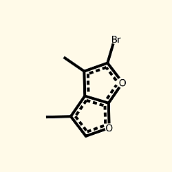 Cc1coc2oc(Br)c(C)c12